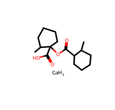 CC1CCCCC1C(=O)OC1(C(=O)O)CCCCC1C.[GaH3]